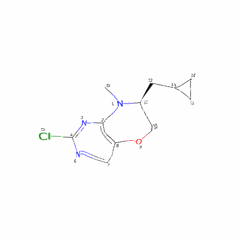 CN1c2nc(Cl)ncc2OC[C@@H]1CC1CC1